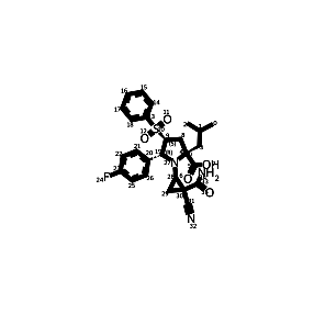 CC(C)C[C@]1(C(=O)O)C[C@H](S(=O)(=O)c2ccccc2)[C@@H](c2ccc(F)cc2)N1C1CC1(C#N)C(N)=O